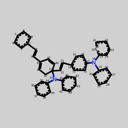 C(=Cc1ccccc1)C1=CCC(C=Cc2ccc(N(c3ccccc3)c3ccccc3)cc2)(N(c2ccccc2)c2ccccc2)C=C1